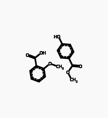 COC(=O)c1ccc(O)cc1.COc1ccccc1C(=O)O